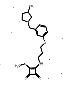 COc1c(NCCCOc2cccc(CN3CCC(C)C3)c2)c(=O)c1=O